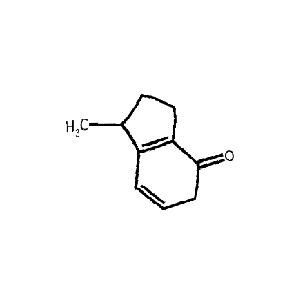 CC1CCC2=C1C=CCC2=O